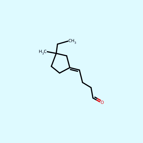 CCC1(C)CCC(=CCCC=O)C1